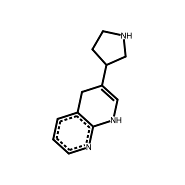 C1=C(C2CCNC2)Cc2cccnc2N1